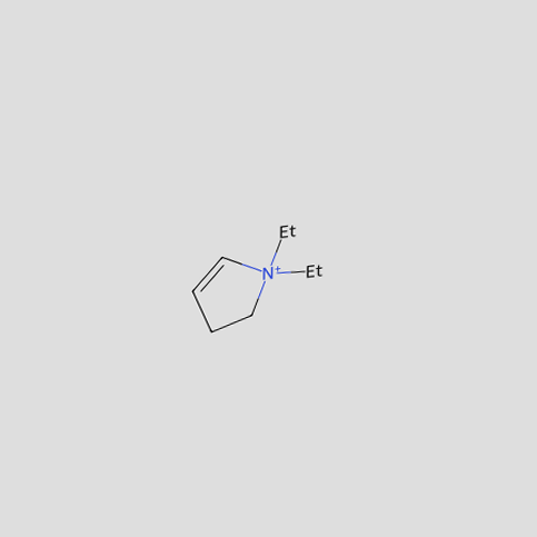 CC[N+]1(CC)C=CCC1